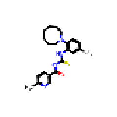 Cc1ccc(C(=O)NC(=S)Nc2cc(C(F)(F)F)ccc2N2CCCCCCC2)cn1